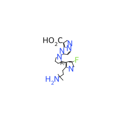 CC(C)(N)CCc1ncc(F)cc1[C@H]1CCCN1c1ccn2ncc(C(=O)O)c2n1